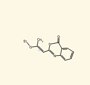 CCO/C(C)=C/c1nc2ccccc2c(=O)o1